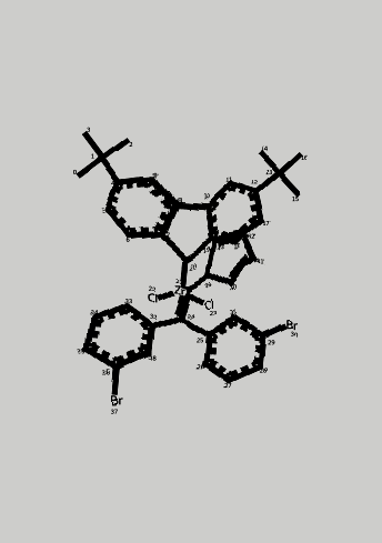 CC(C)(C)c1ccc2c(c1)-c1cc(C(C)(C)C)ccc1[CH]2[Zr]([Cl])([Cl])(=[C](c1cccc(Br)c1)c1cccc(Br)c1)[CH]1C=CC=C1